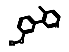 CCOc1cccc(-c2cnccc2C)c1